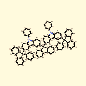 c1ccc(-n2c3ccc(C4(c5ccccc5)c5ccccc5-c5ccccc54)cc3c3cc(C4(c5ccc6c(c5)c5cc(C7(c8ccccc8)c8ccccc8-c8ccccc87)ccc5n6-c5ccccc5)c5ccccc5-c5ccccc54)ccc32)cc1